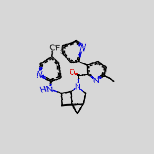 Cc1ccc(-c2ccccn2)c(C(=O)N2CC3CC34CC(Nc3ccc(C(F)(F)F)cn3)C24)n1